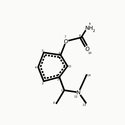 CC(c1cccc(OC(N)=O)c1)N(C)C